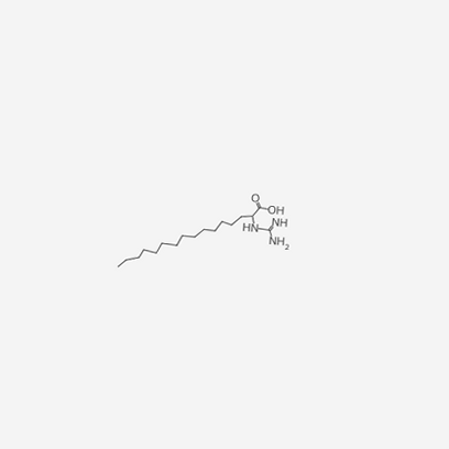 CCCCCCCCCCCCCCC(NC(=N)N)C(=O)O